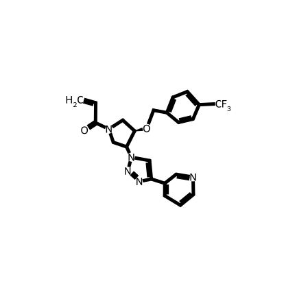 C=CC(=O)N1CC(n2cc(-c3cccnc3)nn2)[C@H](OCc2ccc(C(F)(F)F)cc2)C1